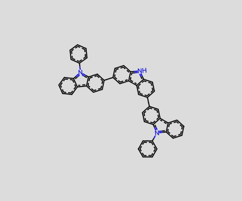 c1ccc(-n2c3ccccc3c3cc(-c4ccc5[nH]c6ccc(-c7ccc8c9ccccc9n(-c9ccccc9)c8c7)cc6c5c4)ccc32)cc1